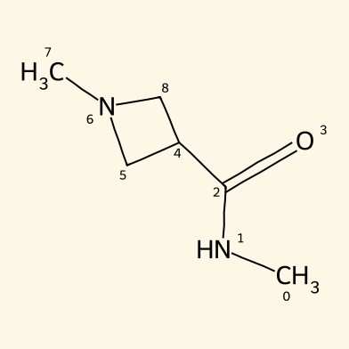 CNC(=O)C1CN(C)C1